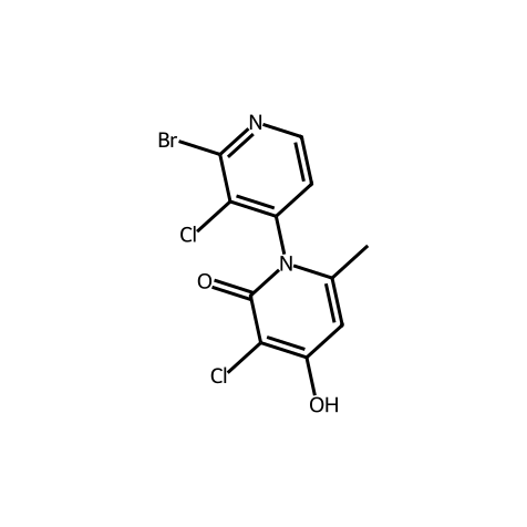 Cc1cc(O)c(Cl)c(=O)n1-c1ccnc(Br)c1Cl